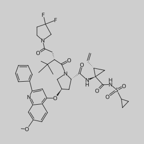 C=C[C@@H]1C[C@]1(NC(=O)[C@@H]1C[C@@H](Oc2cc(-c3ccccc3)nc3cc(OC)ccc23)CN1C(=O)[C@@H](CC(=O)N1CCC(F)(F)C1)C(C)(C)C)C(=O)NS(=O)(=O)C1CC1